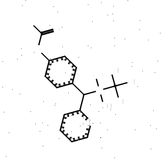 CC(=O)Oc1ccc(C(c2ccccn2)[Si](C)(C)C(C)(C)C)cc1